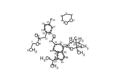 C1CCOOC1.CCOC(=O)Cc1ccc(F)cc1OCc1cc(B2OC(C)(C)C(C)(C)O2)c2ccn(C(C)C)c2c1